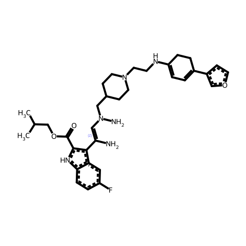 CC(C)COC(=O)c1[nH]c2ccc(F)cc2c1/C(N)=C/N(N)CC1CCN(CCNC2=CC=C(c3ccoc3)CC2)CC1